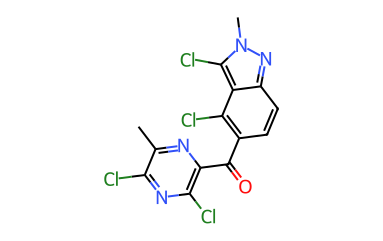 Cc1nc(C(=O)c2ccc3nn(C)c(Cl)c3c2Cl)c(Cl)nc1Cl